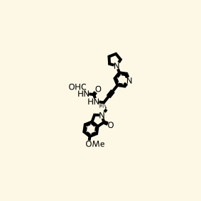 COc1ccc2c(c1)C(=O)N(C[C@@H](C#Cc1cncc(N3CCCC3)c1)NC(=O)NC=O)C2